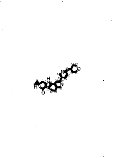 O=C1NC2(CC2)Cc2[nH]c3c(c21)CCc1cnc(-c2ccc(OC4CCOCC4)nc2)cc1-3